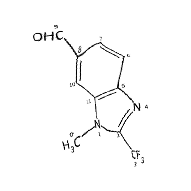 Cn1c(C(F)(F)F)nc2ccc(C=O)cc21